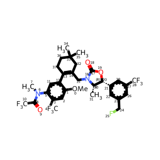 COc1cc(C(F)(F)F)c(N(C)C(=O)C(F)(F)F)cc1C1=C(CN2C(=O)O[C@H](c3cc(CF)cc(C(F)(F)F)c3)[C@@H]2C)CC(C)(C)CC1